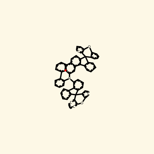 c1ccc(-c2ccccc2N(c2ccc3ccc4c(c3c2)-c2ccccc2C42c3ccccc3Oc3ccccc32)c2cccc3c2-c2ccccc2C32c3ccccc3Oc3ccccc32)cc1